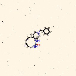 O=C1NC/C=C\C=C/CC2(CCN(Cc3ccccc3)CC2)N1